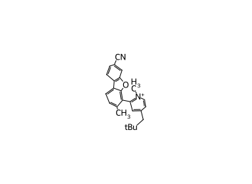 Cc1ccc2c(oc3cc(C#N)ccc32)c1-c1cc(CC(C)(C)C)cc[n+]1C